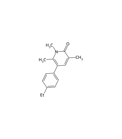 CCc1ccc(-c2cc(C)c(=O)n(C)c2C)cc1